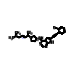 C=C(/C=C/CN(C)C)N1CC[C@@H](Nc2ncnc3[nH]c(C#Cc4ccccc4Cl)cc23)C1